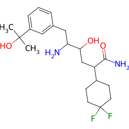 CC(C)(O)c1cccc(CC(N)C(O)CC(C(N)=O)C2CCC(F)(F)CC2)c1